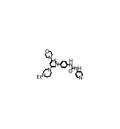 CCN1CCCN(C2=CN(c3ccc(NC(=O)Nc4ccncc4)cc3)SC(N3CCOCC3)=C2)CC1